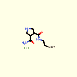 CCCCCCCCCCNC(=O)C1CNCC1C(N)=O.Cl